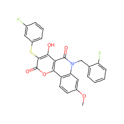 COc1ccc2c3oc(=O)c(Sc4cccc(F)c4)c(O)c3c(=O)n(Cc3ccccc3F)c2c1